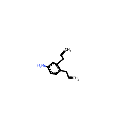 C=CCc1ccc(N)cc1CC=C